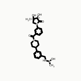 CB(O)NCc1cccc(C2CCN(C(=O)c3cccc(N4C[C@@](C)(O)[C@@H](O)C4=O)c3)CC2)c1